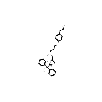 CN(CCCOc1ccc(CC=O)cc1)Cc1cnc(C(O)(c2ccccc2)c2ccccc2)o1